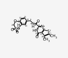 Cc1sc2nc(C(=O)NCc3ccc4c(c3)NS(=O)(=O)CO4)[nH]c(=O)c2c1C